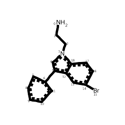 NCCn1cc(-c2ccccc2)c2cc(Br)ccc21